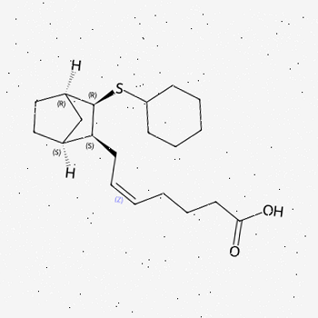 O=C(O)CCC/C=C\C[C@H]1[C@H]2CC[C@H](C2)[C@H]1SC1CCCCC1